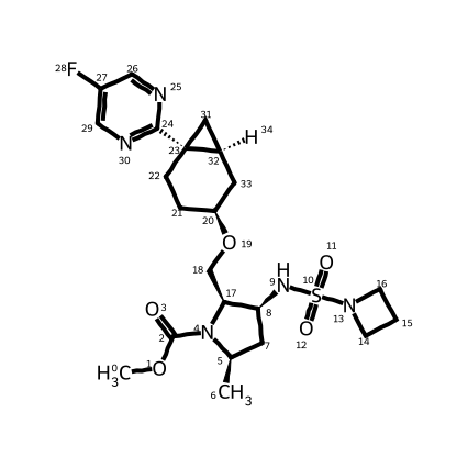 COC(=O)N1[C@H](C)C[C@H](NS(=O)(=O)N2CCC2)[C@@H]1CO[C@H]1CC[C@@]2(c3ncc(F)cn3)C[C@H]2C1